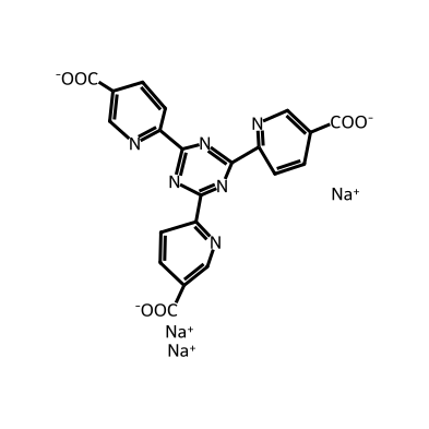 O=C([O-])c1ccc(-c2nc(-c3ccc(C(=O)[O-])cn3)nc(-c3ccc(C(=O)[O-])cn3)n2)nc1.[Na+].[Na+].[Na+]